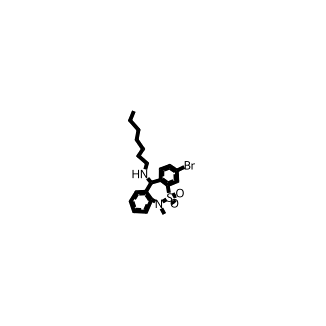 CCCCCCCNC1c2ccccc2N(C)S(=O)(=O)c2cc(Br)ccc21